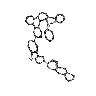 c1ccc(-n2c3ccccc3c3ccc4c5ccccc5c5cc(-c6ccc7sc8ccc(-c9ccc%10cc%11ccccc%11cc%10c9)cc8c7c6)ccc5c4c32)cc1